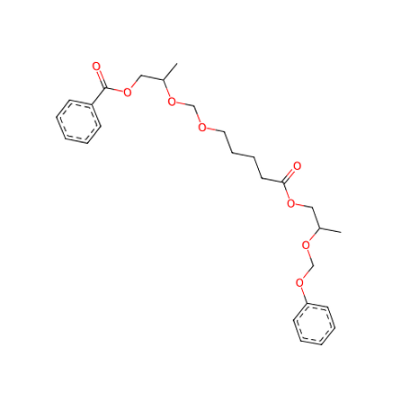 CC(COC(=O)CCCCOCOC(C)COC(=O)c1ccccc1)OCOc1ccccc1